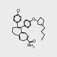 NC(=O)C1=CC=C2C(=CC1)CCCC(c1ccc(Cl)cc1)=C2c1ccc(O[C@H]2CCN(CCCF)C2)cc1